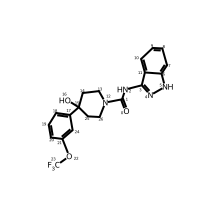 O=C(Nc1n[nH]c2ccccc12)N1CCC(O)(c2cccc(OC(F)(F)F)c2)CC1